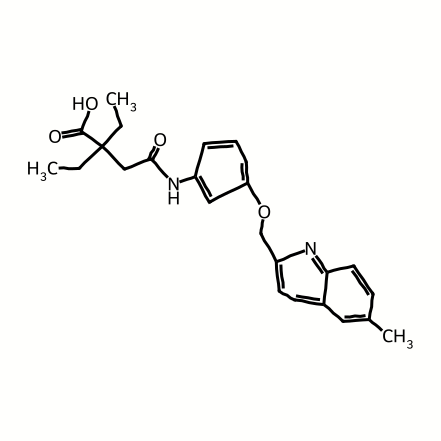 CCC(CC)(CC(=O)Nc1cccc(OCc2ccc3cc(C)ccc3n2)c1)C(=O)O